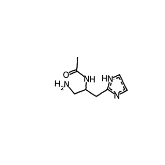 CC(=O)NC(CN)Cc1ncc[nH]1